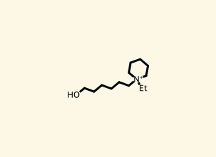 CC[N+]1(CCCCCCO)CCCCC1